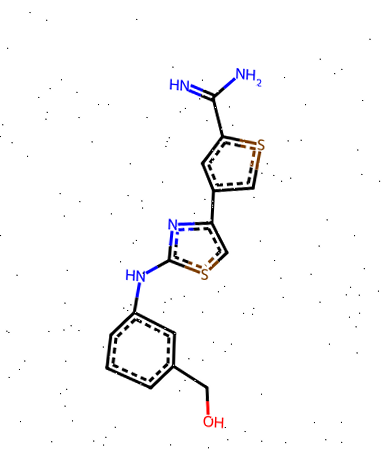 N=C(N)c1cc(-c2csc(Nc3cccc(CO)c3)n2)cs1